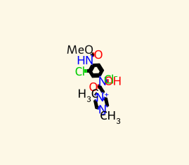 COC(=O)Nc1ccc(N(O)C(=O)C[N+]2(C)CCN(C)CC2)cc1Cl.[Cl-]